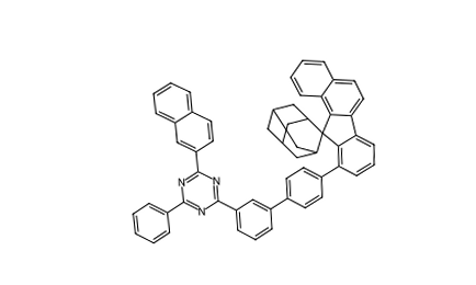 c1ccc(-c2nc(-c3cccc(-c4ccc(-c5cccc6c5C5(c7c-6ccc6ccccc76)C6CC7CC(C6)CC5C7)cc4)c3)nc(-c3ccc4ccccc4c3)n2)cc1